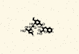 CCc1ccc(C(=O)NC(Cc2ccccc2)C(O)C(=O)O)cc1NC(=O)Nc1sc(C)cc1C(=O)O